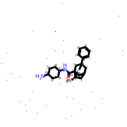 CC(C)C12CC3CC(c4ccccc4)(CC1(C(=O)NC1CCC(N)CC1)C3)C2